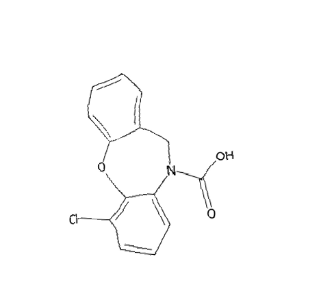 O=C(O)N1Cc2ccccc2Oc2c(Cl)cccc21